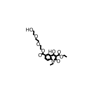 CCOC(=O)c1c(O)c2cc(C(=O)OCCOCCOCCO)ccc2n(CC)c1=O